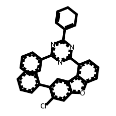 Clc1cc2oc3cccc(-c4nc(C5=CCCC=C5)nc(-c5ccccc5)n4)c3c2cc1-c1ccccc1